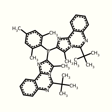 Cc1cc(C)c(B(c2nc3c4ccccc4nc(C(C)(C)C)n3c2C)c2nc3c4ccccc4nc(C(C)(C)C)n3c2C)c(C)c1